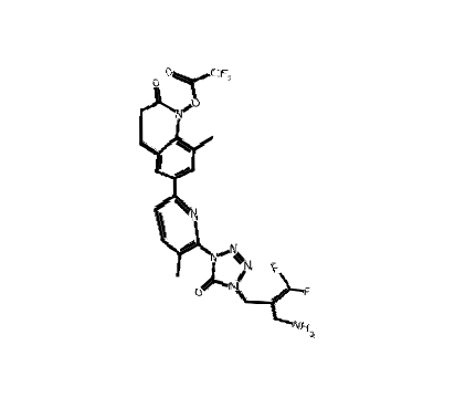 Cc1ccc(-c2cc(C)c3c(c2)CCC(=O)N3OC(=O)C(F)(F)F)nc1-n1nnn(CC(CN)=C(F)F)c1=O